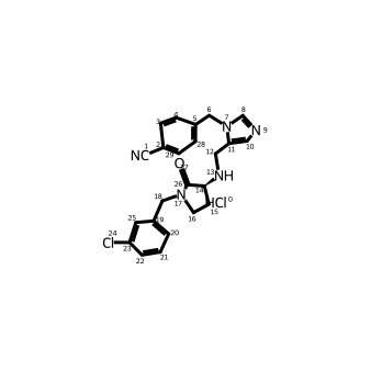 Cl.N#Cc1ccc(Cn2cncc2CN[C@H]2CCN(Cc3cccc(Cl)c3)C2=O)cc1